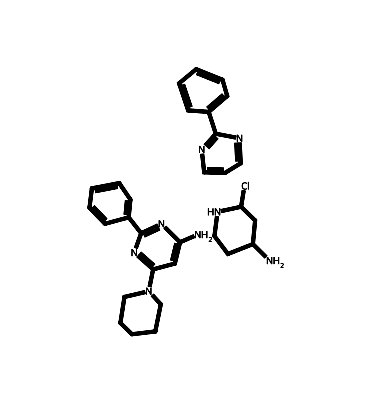 NC1CCNC(Cl)C1.Nc1cc(N2CCCCC2)nc(-c2ccccc2)n1.c1ccc(-c2ncccn2)cc1